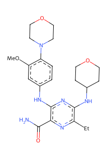 CCc1nc(C(N)=O)c(Nc2ccc(N3CCOCC3)c(OC)c2)nc1NC1CCOCC1